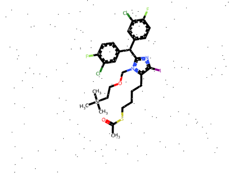 CC(=O)SCCCCc1c(I)nc(C(c2ccc(F)c(Cl)c2)c2ccc(F)c(Cl)c2)n1COCC[Si](C)(C)C